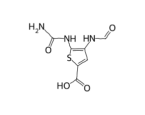 NC(=O)Nc1sc(C(=O)O)cc1NC=O